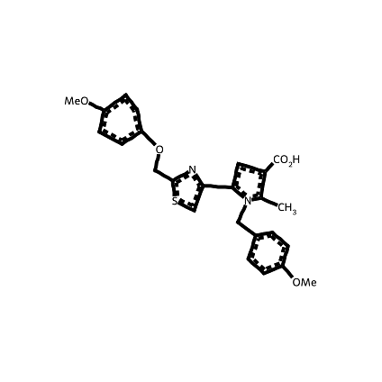 COc1ccc(Cn2c(-c3csc(COc4ccc(OC)cc4)n3)cc(C(=O)O)c2C)cc1